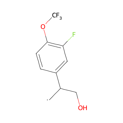 [CH2]C(CO)c1ccc(OC(F)(F)F)c(F)c1